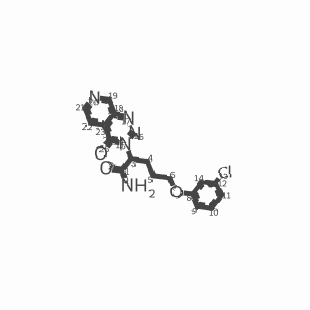 NC(=O)C(CCCOc1cccc(Cl)c1)n1nnc2cnccc2c1=O